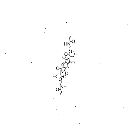 C=CC(=O)NCCOC(=O)C(CC(C)C)n1c(=O)c2nc3c(=O)n(C(CC(C)C)C(=O)OCCNC(=O)C=C)c(=O)c3nc2c1=O